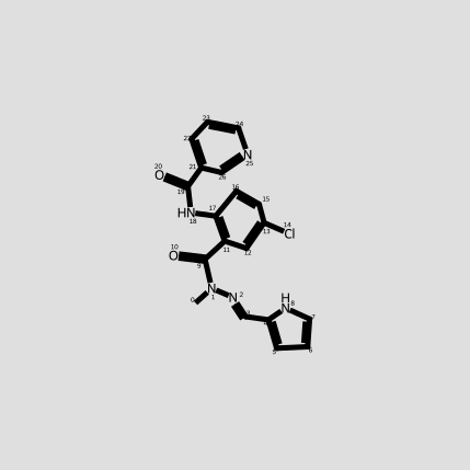 CN(N=Cc1ccc[nH]1)C(=O)c1cc(Cl)ccc1NC(=O)c1cccnc1